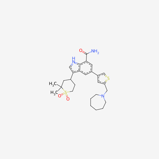 CC1(C)CC(c2c[nH]c3c(C(N)=O)cc(-c4csc(CN5CCCCCC5)c4)cc23)CCS1(=O)=O